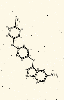 Cc1cnc2[nH]cc(Cc3ccc([CH]c4ccc(C(F)(F)F)nc4)nc3)c2c1